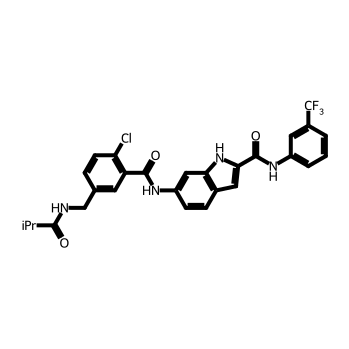 CC(C)C(=O)NCc1ccc(Cl)c(C(=O)Nc2ccc3cc(C(=O)Nc4cccc(C(F)(F)F)c4)[nH]c3c2)c1